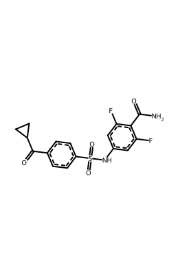 NC(=O)c1c(F)cc(NS(=O)(=O)c2ccc(C(=O)C3CC3)cc2)cc1F